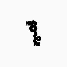 CC(=O)CC(=O)/C=C/c1ccc2[nH]ccc2c1